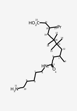 CC(CC(=O)NCCCCCN)CC(C)(C)C(C)(C)CC(CC(=O)O)C(C)C